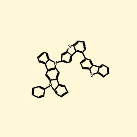 c1ccc(-n2c3ccccc3c3cc4c(cc32)c2ccccc2n4-c2ccc3c(c2)sc2cccc(-c4ccc5sc6ccccc6c5c4)c23)cc1